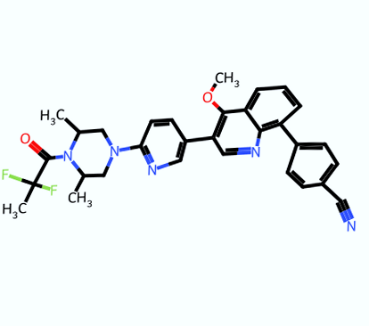 COc1c(-c2ccc(N3CC(C)N(C(=O)C(C)(F)F)C(C)C3)nc2)cnc2c(-c3ccc(C#N)cc3)cccc12